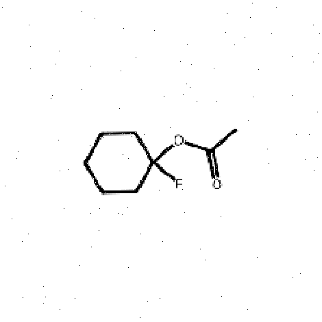 CC(=O)OC1(F)CCCCC1